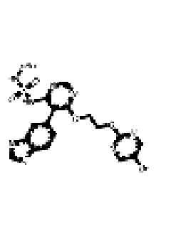 CCCCNS(=O)(=O)Nc1ncnc(OCCOc2ncc(Br)cn2)c1-c1ccc2scnc2c1